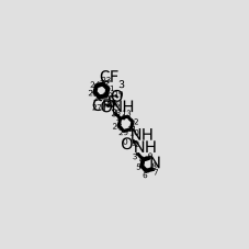 O=C(NCc1cccnc1)NC1CCC(CNS(=O)(=O)c2cc(C(F)(F)F)ccc2C(F)(F)F)CC1